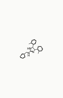 Cc1ccccc1C1N=C(NCc2ccccc2)NC1c1ccccc1C